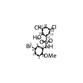 COc1ccc(Br)cc1NS(=O)(=O)c1cc(Cl)cc(Cl)c1O